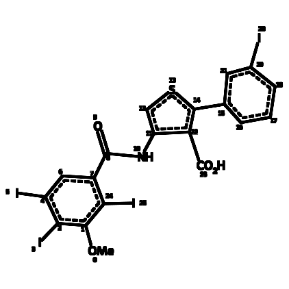 COc1c(I)c(I)cc(C(=O)Nc2csc(-c3cccc(I)c3)c2C(=O)O)c1I